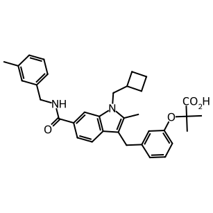 Cc1cccc(CNC(=O)c2ccc3c(Cc4cccc(OC(C)(C)C(=O)O)c4)c(C)n(CC4CCC4)c3c2)c1